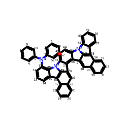 c1ccc(N(c2ccccc2)c2cccc3c4c5ccccc5cc5c6c7c8cc9ccccc9c9c%10ccccc%10n(c7ccc6n(c23)c54)c89)cc1